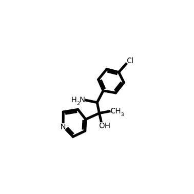 CC(O)(c1ccncc1)C(N)c1ccc(Cl)cc1